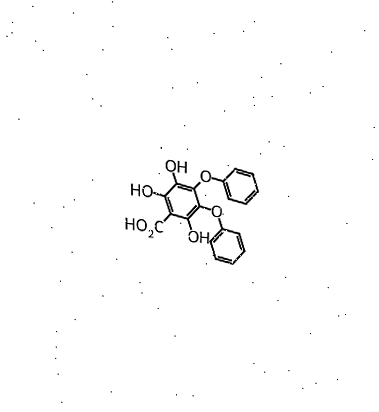 O=C(O)c1c(O)c(O)c(Oc2ccccc2)c(Oc2ccccc2)c1O